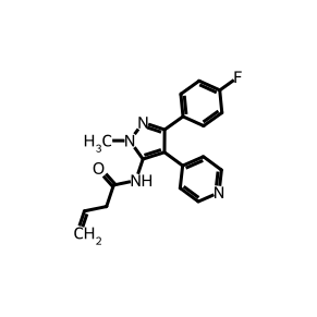 C=CCC(=O)Nc1c(-c2ccncc2)c(-c2ccc(F)cc2)nn1C